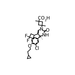 CC1(C(=O)O)CC(C)(N2C=C(C3CC(F)(F)C3)[C@](C)(c3ccc(OCCC4CC4)c(Cl)c3)NC2=O)C1